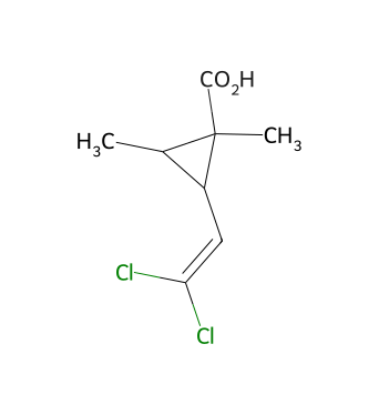 CC1C(C=C(Cl)Cl)C1(C)C(=O)O